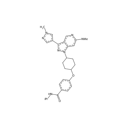 CNc1cc2c(cn1)c(-c1cnn(C)c1)nn2C1CCC(Oc2ccc(C(=O)NC(C)C)cc2)CC1